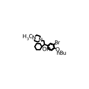 CCCCOc1ccc(C(CN2CCN(C)CC2)C2(O)CCCCC2)cc1Br